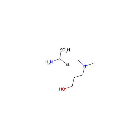 CCC(N)S(=O)(=O)O.CN(C)CCCO